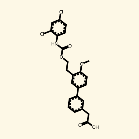 COc1ccc(-c2cccc(CC(=O)O)c2)cc1CCOC(=O)Nc1ccc(Cl)cc1Cl